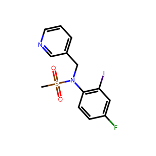 CS(=O)(=O)N(Cc1cccnc1)c1ccc(F)cc1I